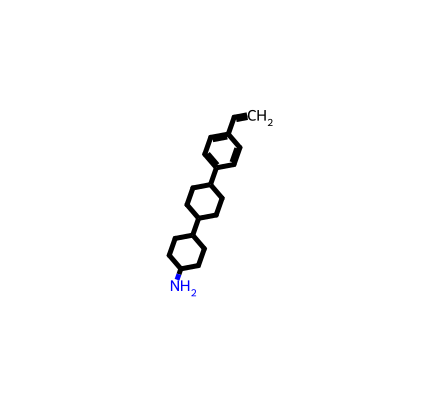 C=Cc1ccc(C2CCC(C3CCC(N)CC3)CC2)cc1